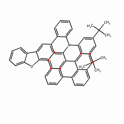 CC(C)(C)c1cc(N(c2ccccc2-c2ccc3oc4ccccc4c3c2)c2ccccc2-c2cccc3cccc(-c4ccccc4)c23)cc(C(C)(C)C)c1